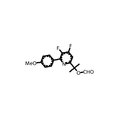 COc1ccc(-c2nc(C(C)(C)OC=O)cc(F)c2F)cc1